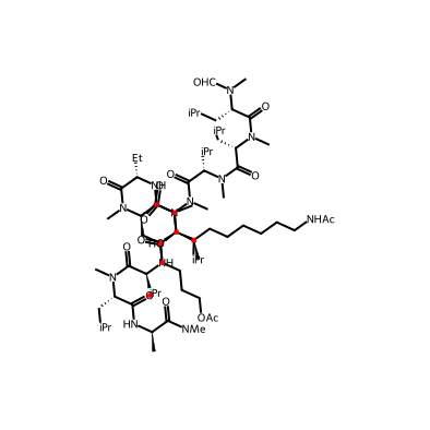 CC[C@H](NC(=O)C([C@H](O)[C@H](C)CCCCCCNC(C)=O)N(C)C(=O)[C@H](C(C)C)N(C)C(=O)[C@H](CC(C)C)N(C)C(=O)[C@H](CC(C)C)N(C)C=O)C(=O)N(C)[C@H](COCCCCOC(C)=O)C(=O)N(C)[C@@H](CC(C)C)C(=O)N[C@H](C(=O)N(C)[C@@H](CC(C)C)C(=O)N[C@H](C)C(=O)NC)C(C)C